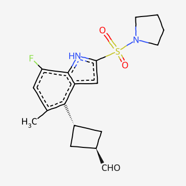 Cc1cc(F)c2[nH]c(S(=O)(=O)N3CCCC3)cc2c1[C@H]1C[C@H](C=O)C1